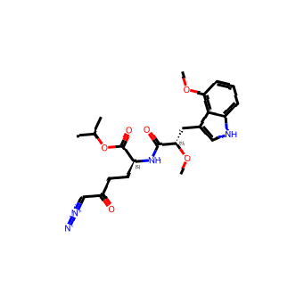 COc1cccc2[nH]cc(C[C@H](OC)C(=O)N[C@@H](CCC(=O)C=[N+]=[N-])C(=O)OC(C)C)c12